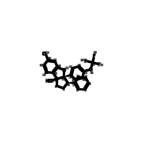 OC12CC[C@@H](c3ccccc3)[C@]1(c1ccc(OC(F)(F)F)cc1)Oc1cc(Cl)cnc12